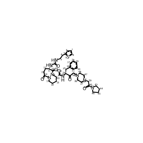 O=C(NCCc1cccs1)N[C@H]1CCC(=O)N2CCC[C@@H](C(=O)N[C@@H](Cc3ccccc3)C(=O)CN3CCN(CC(=O)N4CCCC4)CC3)N2C1=O